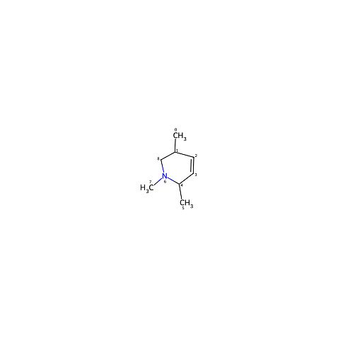 CC1C=CC(C)N(C)C1